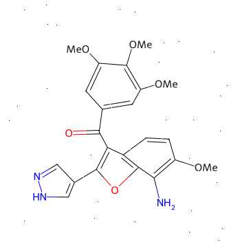 COc1cc(C(=O)c2c(-c3cn[nH]c3)oc3c(N)c(OC)ccc23)cc(OC)c1OC